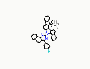 CC1(C)c2ccccc2-c2ccc3c(c21)c1ccc2ccccc2c1n3-c1nc(-c2ccc(F)cc2)c2ccc3ccccc3c2n1